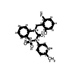 Cc1ccc(N2C(=O)N(Cc3c(F)cccc3Cl)c3ccccc3S2(=O)=O)cn1